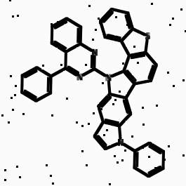 c1ccc(-c2nc(-n3c4cc5ccn(-c6ccccc6)c5cc4c4ccc5sc6ccccc6c5c43)nc3ccccc23)cc1